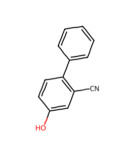 N#Cc1cc(O)ccc1-c1ccccc1